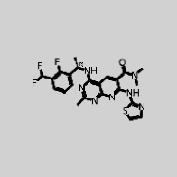 Cc1nc(N[C@H](C)c2cccc(C(F)F)c2F)c2cc(C(=O)N(C)C)c(Nc3nccs3)nc2n1